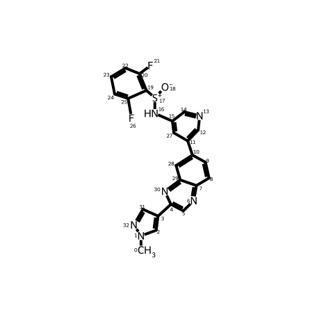 Cn1cc(-c2cnc3ccc(-c4cncc(N[S+]([O-])c5c(F)cccc5F)c4)cc3n2)cn1